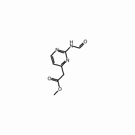 COC(=O)Cc1ccnc(NC=O)n1